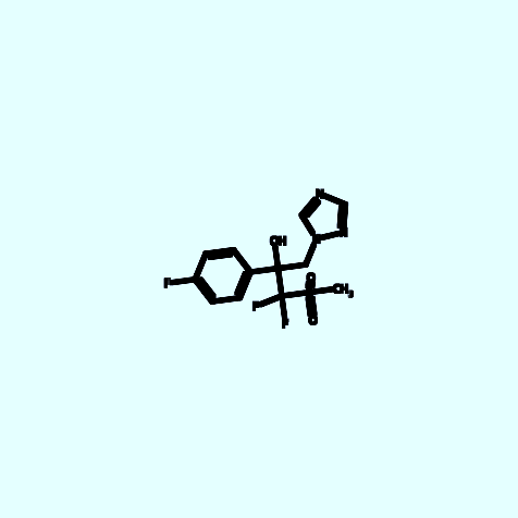 CS(=O)(=O)C(F)(F)C(O)(Cn1cncn1)c1ccc(F)cc1